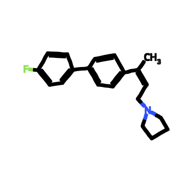 C/C(=C/CN1CCCC1)c1ccc(-c2ccc(F)cc2)cc1